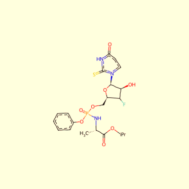 CC(C)OC(=O)[C@H](C)NP(=O)(OC[C@H]1O[C@@H](n2ccc(=O)[nH]c2=S)[C@@H](O)C1F)Oc1ccccc1